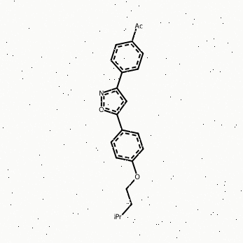 CC(=O)c1ccc(-c2cc(-c3ccc(OCCC(C)C)cc3)on2)cc1